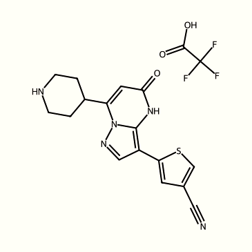 N#Cc1csc(-c2cnn3c(C4CCNCC4)cc(=O)[nH]c23)c1.O=C(O)C(F)(F)F